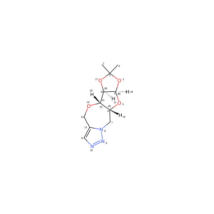 CC1(C)O[C@H]2O[C@@H]3Cn4nncc4CO[C@@H]3[C@H]2O1